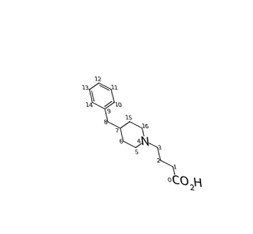 O=C(O)CCCN1CCC(Cc2ccccc2)CC1